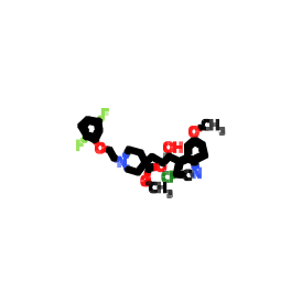 COC(=O)C1(CC[C@H](O)c2c(Cl)cnc3ccc(OC)cc23)CCN(CCOc2cc(F)ccc2F)CC1